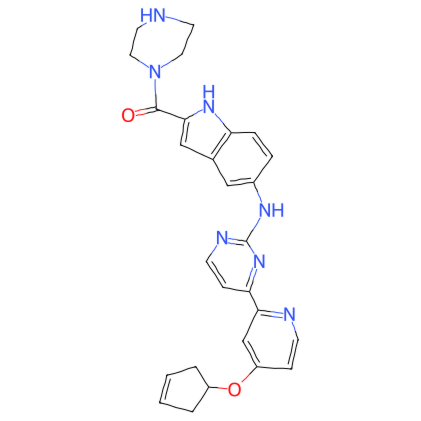 O=C(c1cc2cc(Nc3nccc(-c4cc(OC5CC=CC5)ccn4)n3)ccc2[nH]1)N1CCNCC1